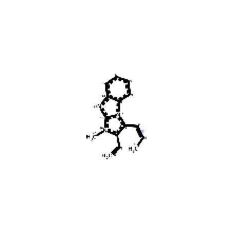 C=Cc1c(/C=C\C)n2c3ccccc3nc2n1C